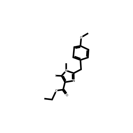 CCOC(=O)c1nc(Cc2ccc(OC)cc2)n(C)c1I